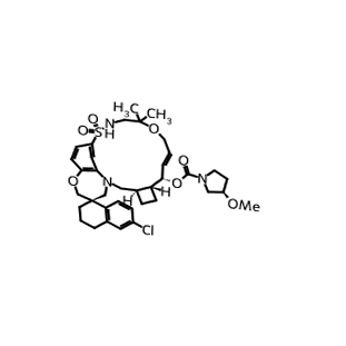 CO[C@@H]1CCN(C(=O)O[C@H]2/C=C/COC(C)(C)CNS(=O)(=O)c3ccc4c(c3)N(C[C@@H]3CC[C@H]32)C[C@@]2(CCCc3cc(Cl)ccc32)CO4)C1